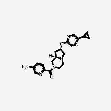 O=C(c1ccc(C(F)(F)F)cn1)N1CCN2C[C@H](Oc3cnc(C4CC4)cn3)C[C@H]2C1